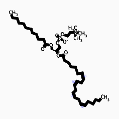 CCCCC/C=C\C/C=C\C/C=C\C/C=C\CCCCCC(=O)O[C@H](COC(=O)CCCCCCCCCCC)COP(=O)([O-])OCC[N+](C)(C)C